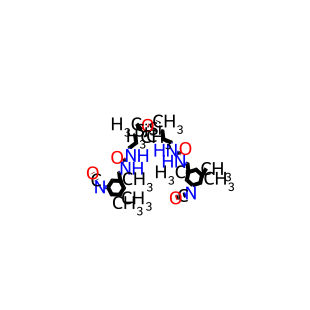 CC1(C)CC(N=C=O)CC(C)(CNC(=O)NCCC[Si](C)(C)O[Si](C)(C)CCCNC(=O)NCC2(C)CC(N=C=O)CC(C)(C)C2)C1